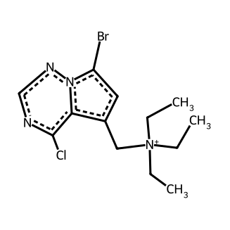 CC[N+](CC)(CC)Cc1cc(Br)n2ncnc(Cl)c12